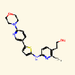 Cc1nc(Nc2ccc(-c3ccc(N4CCOCC4)nc3)s2)ccc1CCO